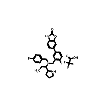 CCC(C1CCCN1)N(Cc1ccc(F)cc1)Cc1cc(-c2ccc3[nH]c(=O)oc3c2)ccc1F.O=C(O)C(F)(F)F